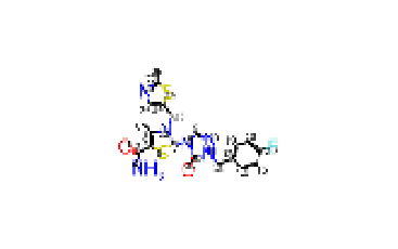 CC1=C(C(N)=O)SC(n2cnn(Cc3ccc(F)cc3)c2=O)N1Cc1cnc(C)s1